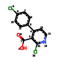 O=C(O)c1c(-c2ccc(Cl)cc2)ccnc1Cl